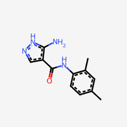 Cc1ccc(NC(=O)c2cn[nH]c2N)c(C)c1